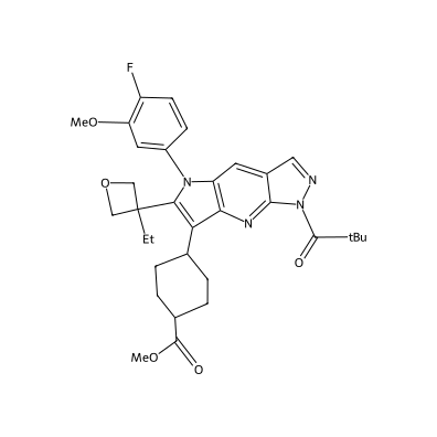 CCC1(c2c(C3CCC(C(=O)OC)CC3)c3nc4c(cnn4C(=O)C(C)(C)C)cc3n2-c2ccc(F)c(OC)c2)COC1